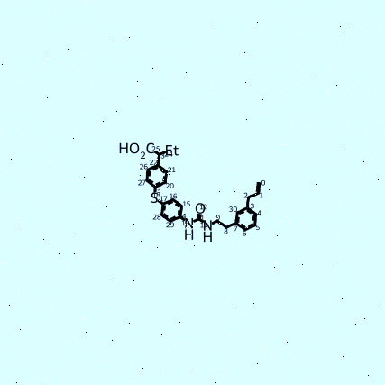 C=CCc1cccc(CCNC(=O)Nc2ccc(Sc3ccc(C(CC)C(=O)O)cc3)cc2)c1